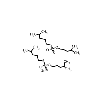 CC(C)CCCOP([O-])(=S)SCCCC(C)C.CC(C)CCCOP([O-])(=S)SCCCC(C)C.[Zn+2]